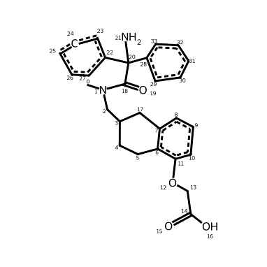 CN(CC1CCc2c(cccc2OCC(=O)O)C1)C(=O)C(N)(c1ccccc1)c1ccccc1